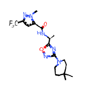 C[C@H](NC(=O)c1cc(C(F)(F)F)nn1C)c1nc(N2CCC(C)(C)CC2)no1